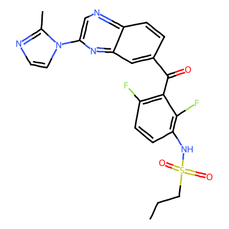 CCCS(=O)(=O)Nc1ccc(F)c(C(=O)c2ccc3ncc(-n4ccnc4C)nc3c2)c1F